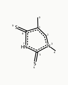 Cc1cn(C)c(=S)[nH]c1=S